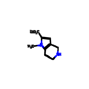 CCOC(=O)c1cc2c(n1C)CCNC2